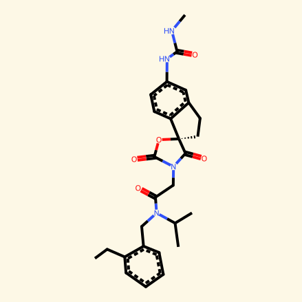 CCc1ccccc1CN(C(=O)CN1C(=O)O[C@]2(CCc3cc(NC(=O)NC)ccc32)C1=O)C(C)C